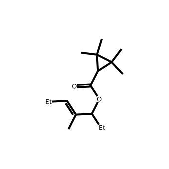 CCC=C(C)C(CC)OC(=O)C1C(C)(C)C1(C)C